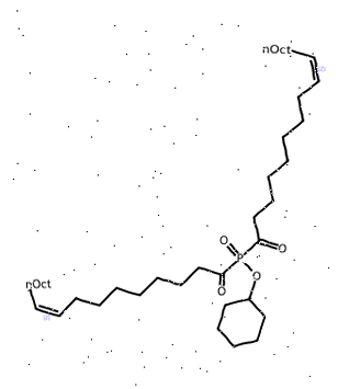 CCCCCCCC/C=C\CCCCCCCC(=O)P(=O)(OC1CCCCC1)C(=O)CCCCCCC/C=C\CCCCCCCC